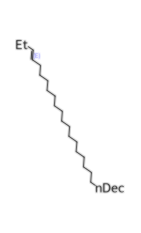 [CH2]C/C=C/CCCCCCCCCCCCCCCCCCCCCCCCC[CH2]